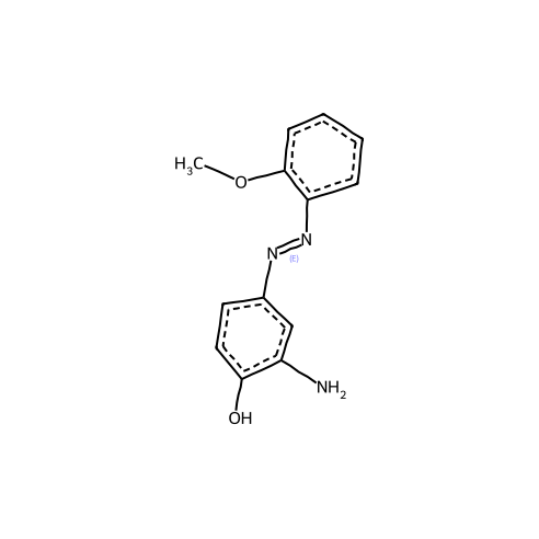 COc1ccccc1/N=N/c1ccc(O)c(N)c1